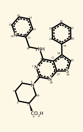 O=C(O)[C@H]1CCCN(c2nc(NCc3ccccn3)c3c(-c4ccccc4)csc3n2)C1